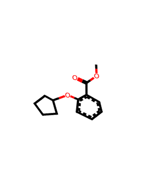 COC(=O)c1ccccc1OC1CCCC1